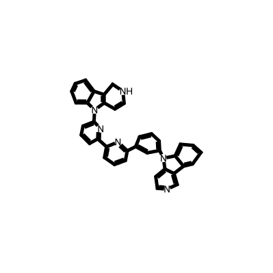 C1=Cc2c(c3ccccc3n2-c2cccc(-c3cccc(-c4cccc(-n5c6ccccc6c6cnccc65)c4)n3)n2)CN1